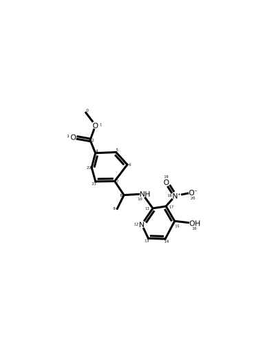 COC(=O)c1ccc(C(C)Nc2nccc(O)c2[N+](=O)[O-])cc1